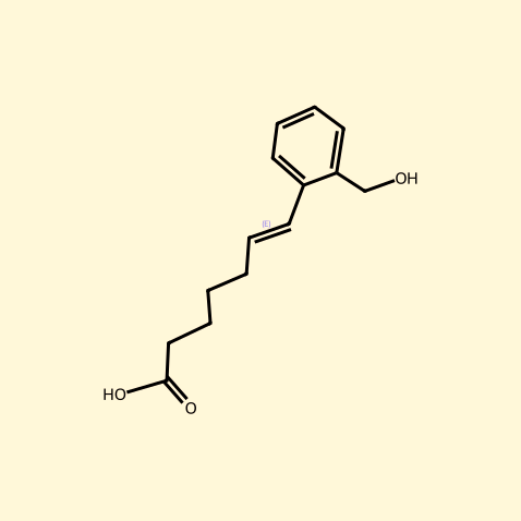 O=C(O)CCCC/C=C/c1ccccc1CO